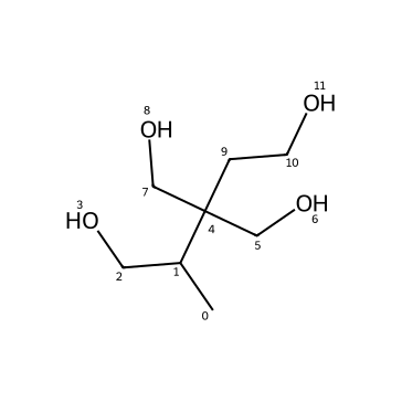 CC(CO)C(CO)(CO)CCO